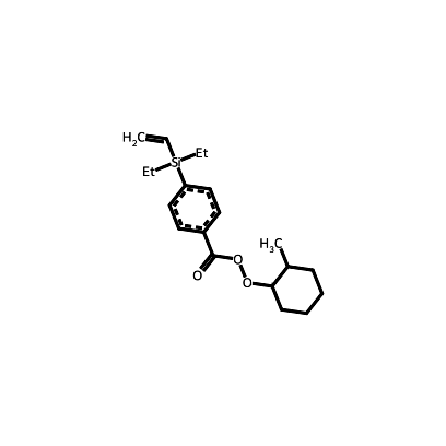 C=C[Si](CC)(CC)c1ccc(C(=O)OO[C]2CCCCC2C)cc1